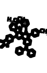 Cc1ccc(N2B3c4cccc5c4-n4c6c(cccc6c6c(-c7ccc8c(c7)sc7ccccc78)cc(c3c64)-c3cc(N(c4ccccc4)c4ccccc4)ccc32)C5(C)C)cc1